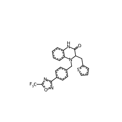 O=C1Nc2ccccc2N(Cc2ccc(-c3noc(C(F)(F)F)n3)cc2)C1Cc1cccs1